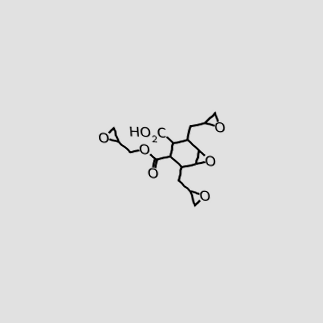 O=C(O)C1C(CC2CO2)C2OC2C(CC2CO2)C1C(=O)OCC1CO1